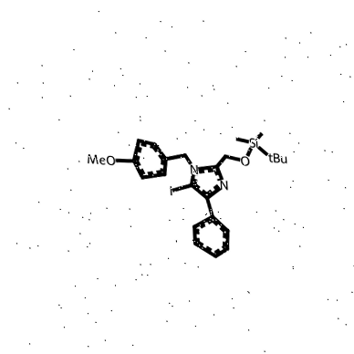 COc1ccc(Cn2c(CO[Si](C)(C)C(C)(C)C)nc(-c3ccccc3)c2I)cc1